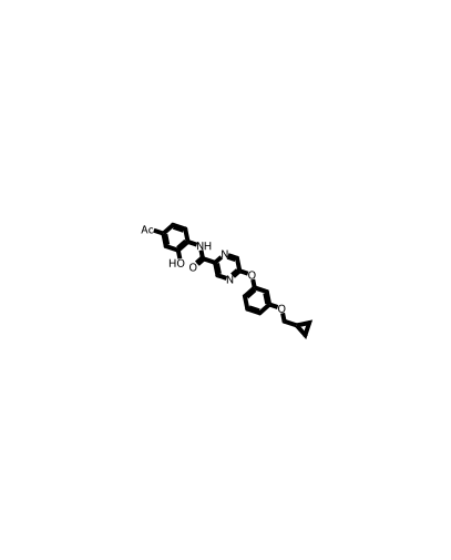 CC(=O)c1ccc(NC(=O)c2cnc(Oc3cccc(OCC4CC4)c3)cn2)c(O)c1